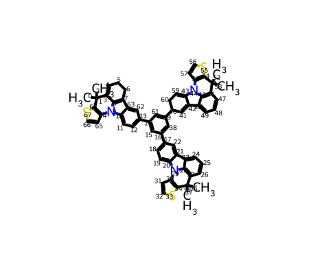 CC1(C)C2=CCCc3c2n(c2ccc(-c4cc(-c5ccc6c(c5)c5cccc7c5n6-c5ccsc5C7(C)C)cc(C5C=c6c(n7c8c(cccc68)C(C)(C)c6sccc6-7)=CC5)c4)cc32)-c2ccsc21